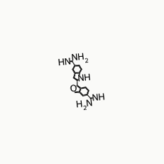 N=C(N)c1ccc2[nH]c(-c3occ4cc(C(=N)N)ccc34)cc2c1